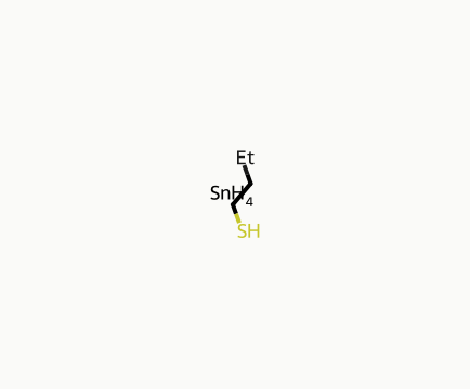 CCCCS.[SnH4]